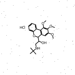 COc1cc2c(c(OC)c1OC)-c1ccccc1OC2C(O)CNC(C)(C)C.Cl